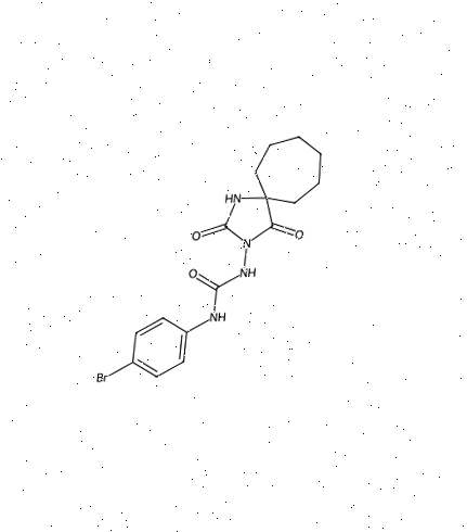 O=C(Nc1ccc(Br)cc1)NN1C(=O)NC2(CCCCCC2)C1=O